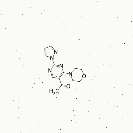 CC(=O)c1cnc(-n2cccn2)nc1N1CCOCC1